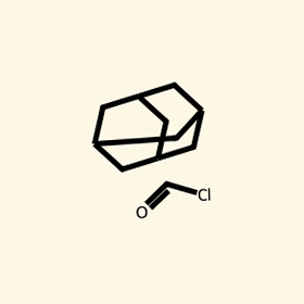 C1C2CC3CC1CC(C2)C3.O=CCl